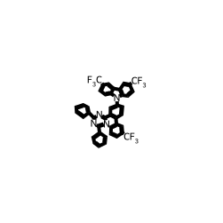 FC(F)(F)c1cccc(-c2ccc(-n3c4ccc(C(F)(F)F)cc4c4cc(C(F)(F)F)ccc43)cc2-c2nc(-c3ccccc3)nc(-c3ccccc3)n2)c1